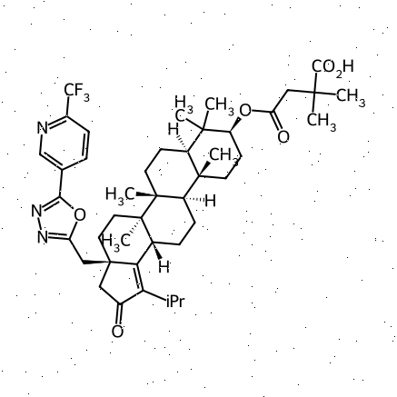 CC(C)C1=C2[C@H]3CC[C@@H]4[C@@]5(C)CC[C@H](OC(=O)CC(C)(C)C(=O)O)C(C)(C)[C@@H]5CC[C@@]4(C)[C@]3(C)CC[C@@]2(Cc2nnc(-c3ccc(C(F)(F)F)nc3)o2)CC1=O